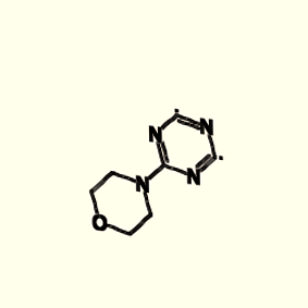 [c]1n[c]nc(N2CCOCC2)n1